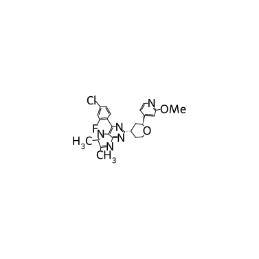 COc1cc([C@@H]2C[C@@H](c3nc(-c4ccc(Cl)cc4F)c4nc(C)c(C)nc4n3)CCO2)ccn1